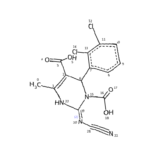 CC1=C(C(=O)O)C(c2cccc(Cl)c2Cl)N(C(=O)O)/C(=N\C#N)N1